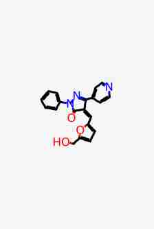 O=C1/C(=C\c2ccc(CO)o2)C(c2ccncc2)=NN1c1ccccc1